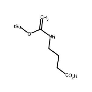 C=C(NCCCC(=O)O)OC(C)(C)C